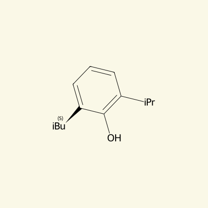 CC[C@H](C)c1cccc(C(C)C)c1O